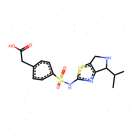 CC(C)C1NCc2sc(NS(=O)(=O)c3ccc(CC(=O)O)cc3)nc21